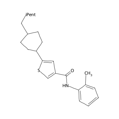 CCCC(C)CC1CCC(c2cc(C(=O)Nc3ccccc3C)cs2)CC1